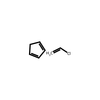 C1=CCC=C1.C=CCl